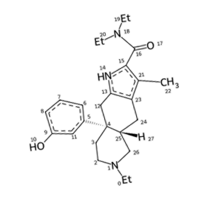 CCN1CC[C@@]2(c3cccc(O)c3)Cc3[nH]c(C(=O)N(CC)CC)c(C)c3C[C@@H]2C1